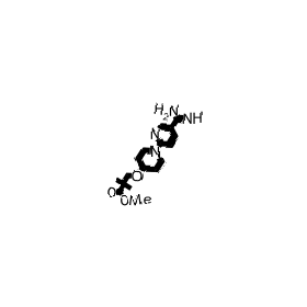 COC(=O)C(C)(C)COC1CCN(c2ccc(C(=N)N)cn2)CC1